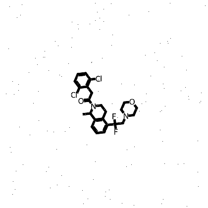 CC1c2cccc(C(F)(F)CN3CCOCC3)c2CCN1C(=O)Cc1c(Cl)cccc1Cl